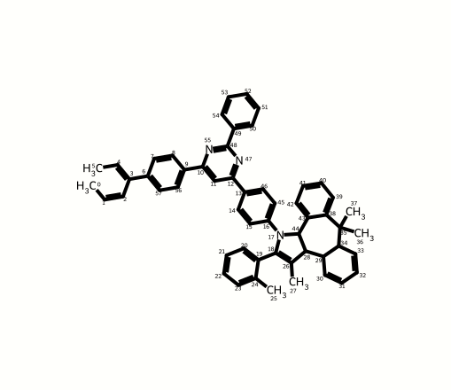 C/C=C\C(=C/C)c1ccc(-c2cc(-c3ccc(N4C(c5ccccc5C)=C(C)C5C6C=CC=CC6C(C)(C)c6ccccc6C54)cc3)nc(-c3ccccc3)n2)cc1